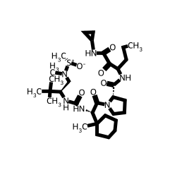 CCCC(NC(=O)[C@@H]1CCCN1C(=O)[C@@H](NC(=O)N[C@H](CN(C)[S+](C)[O-])C(C)(C)C)C1(C)CCCCC1)C(=O)C(=O)NC1CC1